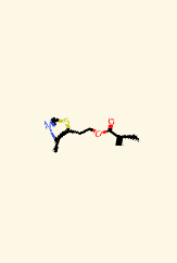 C=C(C)C(=O)OCCc1scnc1C